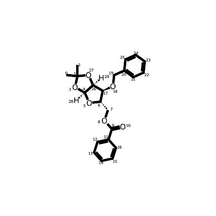 CC1(C)O[C@@H]2O[C@@H](COC(=O)c3ccccc3)[C@H](OCc3ccccc3)[C@@H]2O1